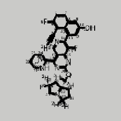 [2H]C#Cc1c(F)ccc2cc(O)cc(-c3ncc4c(N5CC6CCC5CN6)nc(OC([2H])([2H])[C@]56CCC([2H])([2H])N5C[C@@]([2H])(F)C6)nc4c3F)c12